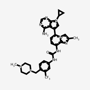 Cc1cn2c(-c3cn(C4CC4)c4ncnc(N)c34)ccc(NC(=O)Nc3ccc(CN4CCN(C)CC4)c(C(F)(F)F)c3)c2n1